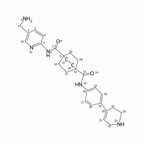 NCc1ccc(NC(=O)C23CCC(C(=O)Nc4ccc(C5=CCNCC5)cc4)(CC2)CC3)nc1